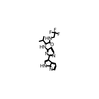 CC(C)[C@@H](Nc1ccnc(-c2c[nH]c3ncccc23)n1)C(=O)NCC(F)(F)F